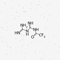 N=C(N)NC(=N)NC(=O)C(F)(F)F